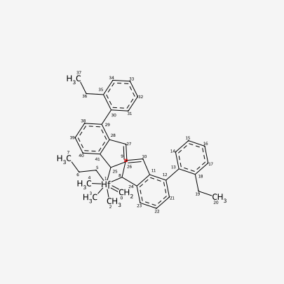 [CH2]=[Hf]([CH3])([CH3])([CH3])([CH2]CC)([CH]1C=Cc2c(-c3ccccc3CC)cccc21)[CH]1C=Cc2c(-c3ccccc3CC)cccc21